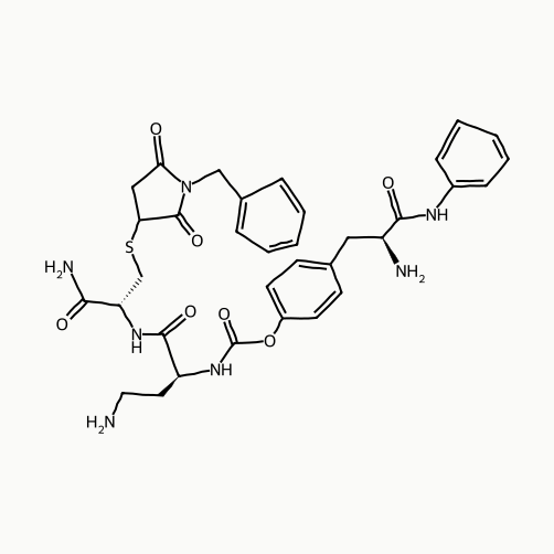 NCC[C@H](NC(=O)Oc1ccc(C[C@H](N)C(=O)Nc2ccccc2)cc1)C(=O)N[C@@H](CSC1CC(=O)N(Cc2ccccc2)C1=O)C(N)=O